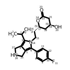 CC(C)c1c2c(c(-c3ccc(F)cc3)n1CC[C@H]1C[C@H](O)CC(=O)O1)CNC2